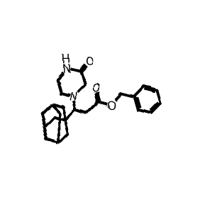 O=C1CN(C(CC(=O)OCc2ccccc2)C23CC4CC(CC(C4)C2)C3)CCN1